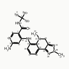 [2H]C([2H])([2H])NC(=O)c1cnc(N)cc1Nc1cccc2c1N(C)Cc1nn(C)nc1-2